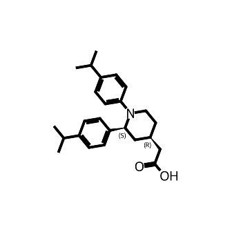 CC(C)c1ccc([C@@H]2C[C@H](CC(=O)O)CCN2c2ccc(C(C)C)cc2)cc1